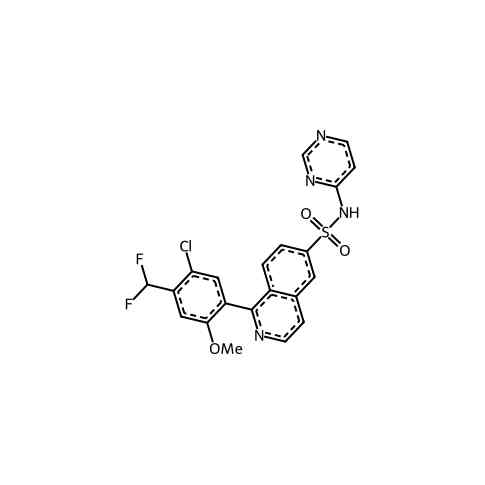 COc1cc(C(F)F)c(Cl)cc1-c1nccc2cc(S(=O)(=O)Nc3ccncn3)ccc12